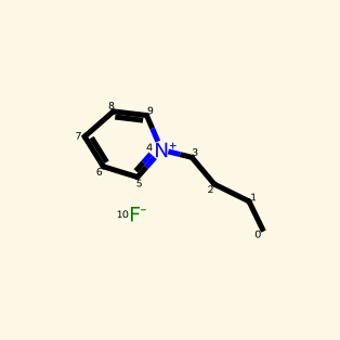 CCCC[n+]1ccccc1.[F-]